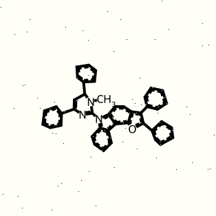 CN1C(n2c3ccccc3c3c4oc(-c5ccccc5)c(-c5ccccc5)c4ccc32)=NC(c2ccccc2)=CC1c1ccccc1